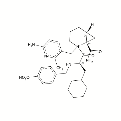 Cc1nc(N)ccc1C[N+]1(C(=O)[C@@H](CC2CCCCC2)NCc2ccc(C(=O)O)cc2)CCC[C@@H]2C[C@@]21C(N)=O